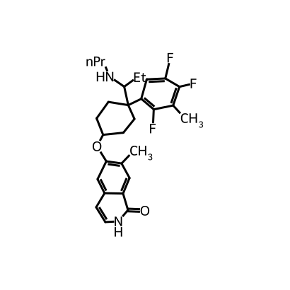 CCCNC(CC)C1(c2cc(F)c(F)c(C)c2F)CCC(Oc2cc3cc[nH]c(=O)c3cc2C)CC1